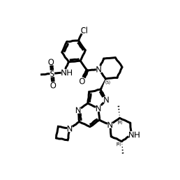 C[C@@H]1CN(c2cc(N3CCC3)nc3cc([C@@H]4CCCCN4C(=O)c4cc(Cl)ccc4NS(C)(=O)=O)nn23)[C@H](C)CN1